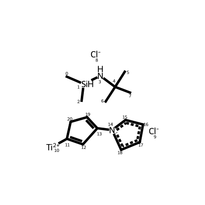 C[SiH](C)NC(C)(C)C.[Cl-].[Cl-].[Ti+2][C]1=CC(n2cccc2)=CC1